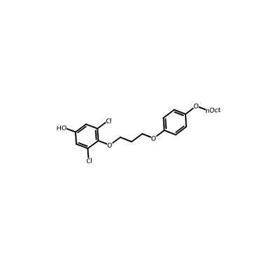 CCCCCCCCOc1ccc(OCCCOc2c(Cl)cc(O)cc2Cl)cc1